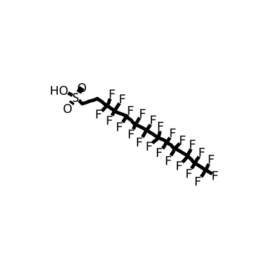 O=S(=O)(O)CCC(F)(F)C(F)(F)C(F)(F)C(F)(F)C(F)(F)C(F)(F)C(F)(F)C(F)(F)C(F)(F)C(F)(F)C(F)(F)F